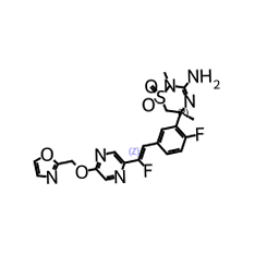 CN1C(N)=N[C@](C)(c2cc(/C=C(\F)c3cnc(OCc4ncco4)cn3)ccc2F)CS1(=O)=O